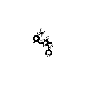 O=c1[nH]c(Cc2cc(OC(F)(F)F)ccc2F)nc2c1cnn2C1CCOCC1